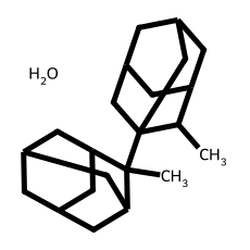 CC1C2CC3CC(C2)CC1(C1(C)C2CC4CC(C2)CC1C4)C3.O